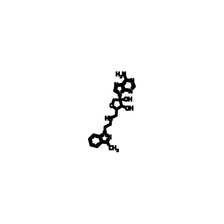 Cc1nn(CCNCC2OCC(O)(n3cnc4c(N)ncnc43)C2O)c2ccccc12